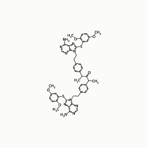 COc1ccc(OC)c(Sc2nc3c(N)ncnc3n2CCc2ccc(C(C)C(=O)C(C)c3ccc(CCn4c(Sc5cc(OC)ccc5OC)nc5c(N)ncnc54)cc3)cc2)c1